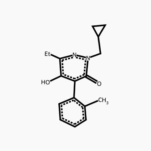 CCc1nn(CC2CC2)c(=O)c(-c2ccccc2C)c1O